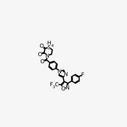 O=C1[SH4]CCN(C(=O)c2ccc(-n3cnc(-c4c(-c5ccc(F)cc5)noc4C(F)(F)F)c3)cc2)C1=O